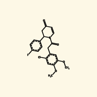 COc1cc(Cl)c(CC(=O)N2C=CC(=O)CC2c2ccc(F)cc2)cc1OC